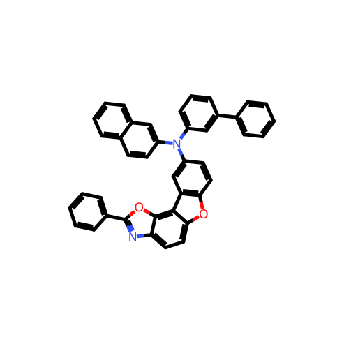 c1ccc(-c2cccc(N(c3ccc4ccccc4c3)c3ccc4oc5ccc6nc(-c7ccccc7)oc6c5c4c3)c2)cc1